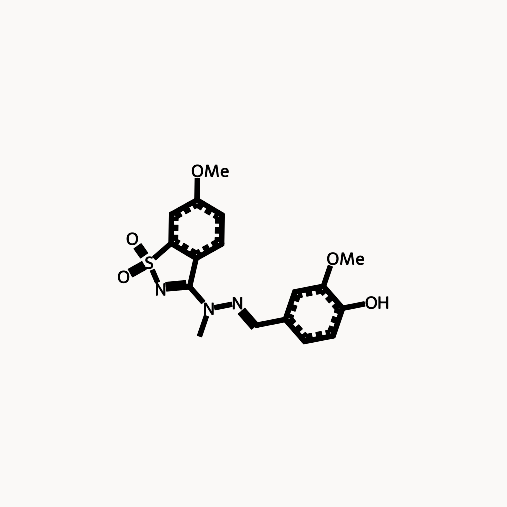 COc1ccc2c(c1)S(=O)(=O)N=C2N(C)/N=C/c1ccc(O)c(OC)c1